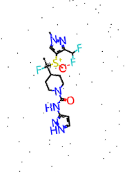 Cn1cc([S+]([O-])[C@@](C)(F)C2CCN(C(=O)Nc3cc[nH]n3)CC2)c(C(F)F)n1